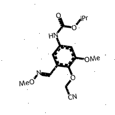 CON=Cc1cc(NC(=O)OC(C)C)cc(OC)c1OCC#N